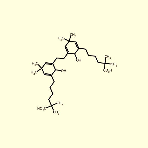 CC1(C)C=C(CCCCC(C)(C)C(=O)O)C(O)C(CCC2=CC(C)(C)C=C(CCCCC(C)(C)C(=O)O)C2O)=C1